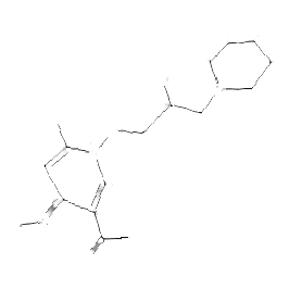 CN=c1cc(Cl)n(OCC(O)CN2CCCCC2)cc1C(=O)Cl